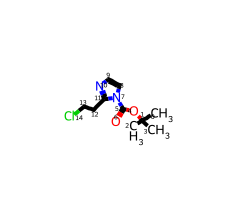 CC(C)(C)OC(=O)n1ccnc1CCCl